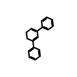 [CH]1C=C(c2ccccc2)C=C(c2ccccc2)C1